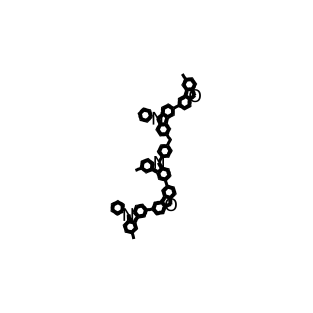 Cc1ccc2oc3ccc(-c4ccc5c(c4)c4cc(Cc6ccc(-n7c8ccc(C)cc8c8cc(-c9ccc%10oc%11ccc(-c%12ccc%13c(c%12)c%12cc(C)ccc%12n%13-c%12ccccc%12)cc%11c%10c9)ccc87)cc6)ccc4n5-c4ccccc4)cc3c2c1